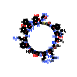 CC[C@H](C)[C@@H]1NC(=O)[C@H]([C@@H](C)O)NC(=O)[C@H](Cc2cncn2C)NC(=O)C(Cc2ccccc2)NC(=O)CSC[C@@H](C(=O)NCC(N)=O)NC(=O)[C@H](Cc2ccc(O)cc2)NC(=O)[C@H](Cc2c[nH]c3ccccc23)NC(=O)[C@H](Cc2ccc(O)cc2)NC(=O)[C@H](CCCCN)NC(=O)[C@H](Cc2ccccc2)NC(=O)C(C)(C)NC(=O)[C@H](CO)NC(=O)[C@H](CCCCN)NC(=O)[C@H](CCCNC(=N)N)NC1=O